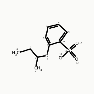 CCC(C)Oc1ccccc1S(=O)(=O)Cl